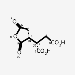 O=C(O)C[C@H](C(=O)O)[C@H]1CC(=O)OC1=O